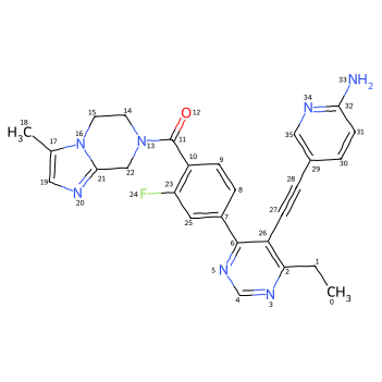 CCc1ncnc(-c2ccc(C(=O)N3CCn4c(C)cnc4C3)c(F)c2)c1C#Cc1ccc(N)nc1